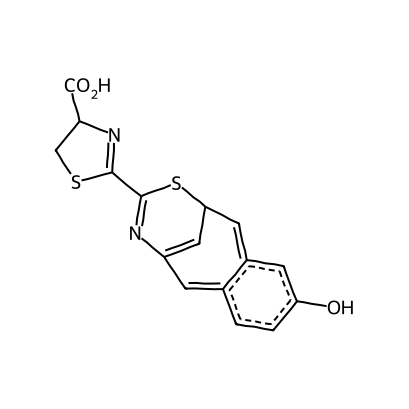 O=C(O)C1CSC(C2=NC3=CC(C=c4cc(O)ccc4=C3)S2)=N1